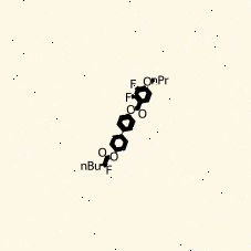 CCCC[C@H](F)C(=O)O[C@H]1CC[C@H](c2ccc(OC(=O)c3ccc(OCCC)c(F)c3F)cc2)CC1